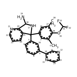 Cc1cc(C2(c3cccc(-c4cnccn4)c3)NC(N)c3ncccc32)cc(C)c1OC(F)F